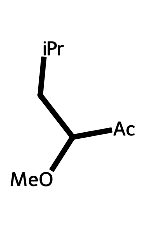 COC(CC(C)C)C(C)=O